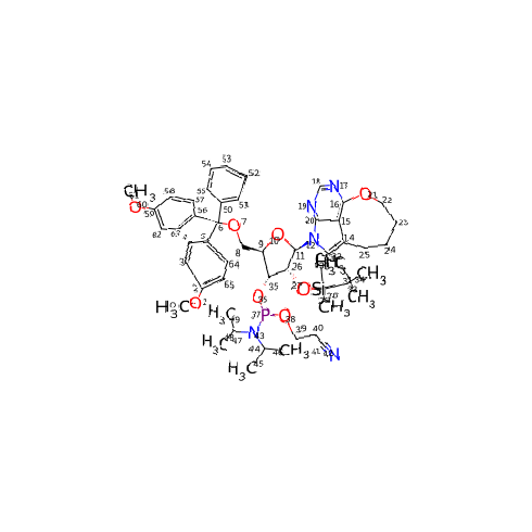 COc1ccc(C(OC[C@H]2O[C@@H](n3cc4c5c(ncnc53)OCCCC4)[C@H](O[Si](C)(C)C(C)(C)C)[C@@H]2OP(OCCC#N)N(C(C)C)C(C)C)(c2ccccc2)c2ccc(OC)cc2)cc1